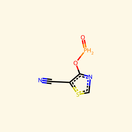 N#Cc1scnc1O[PH2]=O